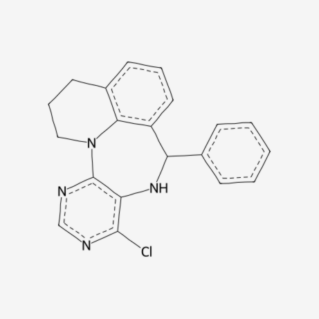 Clc1ncnc2c1NC(c1ccccc1)c1cccc3c1N2CCC3